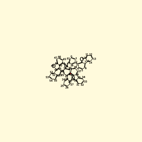 c1cc(-c2cccc3c2oc2ccccc23)cc(N(c2ccc(-c3ccccc3-n3c4ccccc4c4ccccc43)cc2)c2cccc3oc4c5ccccc5ccc4c23)c1